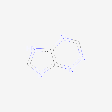 c1nnc2nc[nH]c2n1